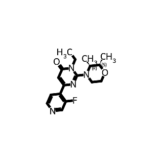 CCn1c(N2CCO[C@@H](C)[C@H]2C)nc(-c2ccncc2F)cc1=O